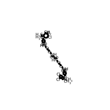 C=C1C[C@H](N(C)C)[C@@H](Oc2ccc(S(=O)(=O)NCCOCCOCCNC(=O)CCC(=O)NCCOCCOCCNS(=O)(=O)c3ccc(O[C@H]4c5cc(Cl)cc(Cl)c5C[C@@H]4N(C)C)cc3)cc2)C/C=C(Cl)\C=C/1Cl